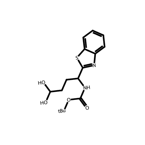 CC(C)(C)OC(=O)NC(CCC(O)O)c1nc2ccccc2s1